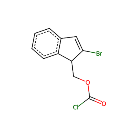 O=C(Cl)OCC1C(Br)=Cc2ccccc21